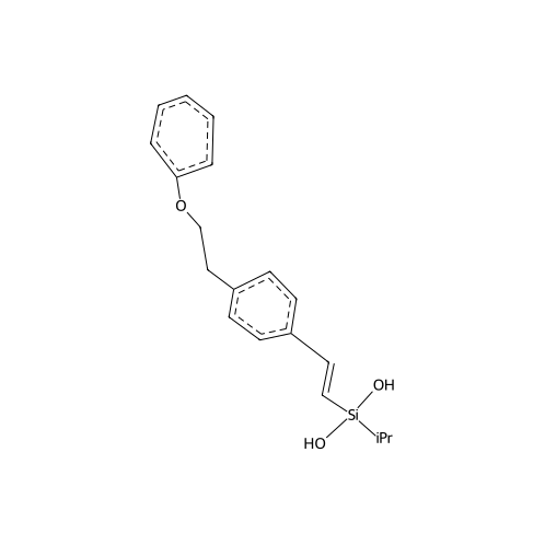 CC(C)[Si](O)(O)C=Cc1ccc(CCOc2ccccc2)cc1